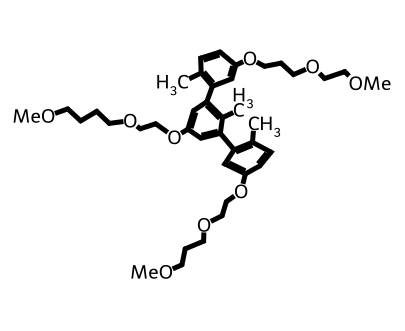 COCCCCOCCOc1cc(-c2cc(OCCCOCCOC)ccc2C)c(C)c(-c2cc(OCCOCCCOC)ccc2C)c1